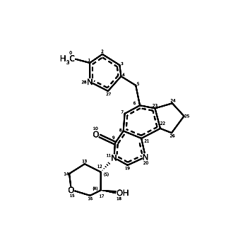 Cc1ccc(Cc2cc3c(=O)n([C@H]4CCOC[C@@H]4O)cnc3c3c2CCC3)cn1